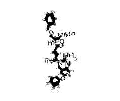 COC(=O)C(COCc1ccccc1)NC(=O)CCC(C(C)C)N1Cc2cc(Oc3ccccc3)ncc2N=C1N